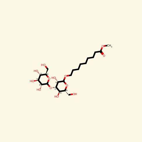 COC(=O)CCCCCCCCOC1O[C@H](CO)[C@@H](O)[C@H](OC2O[C@H](CO)[C@@H](O)[C@H](O)[C@H]2O)[C@@H]1O